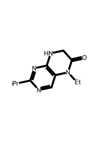 CCN1C(=O)CNc2nc(C(C)C)ncc21